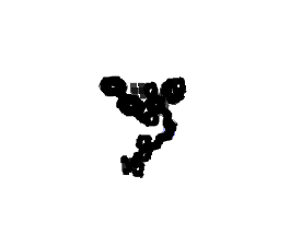 CN(C)C(=O)COC(=O)CC/C=C\CC[C@@H]1[C@@H](N2CCOCC2)[C@@H](O)C[C@@H]1OCc1ccc(-c2ccccc2)cc1